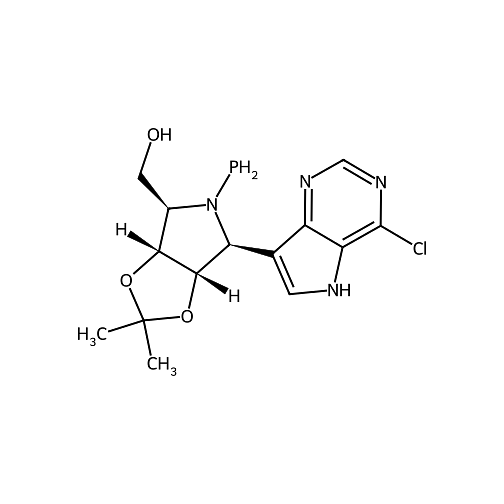 CC1(C)O[C@@H]2[C@H](O1)[C@@H](CO)N(P)[C@H]2c1c[nH]c2c(Cl)ncnc12